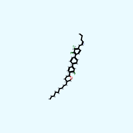 CCC/C=C\Cc1ccc(-c2ccc(-c3ccc(C4CCC(CCCCCCCCC)CO4)c(F)c3)cc2)c(F)c1F